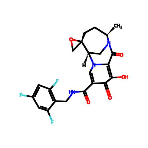 C[C@H]1CC[C@]2(CO2)[C@H]2CN1C(=O)c1c(O)c(=O)c(C(=O)NCc3c(F)cc(F)cc3F)cn12